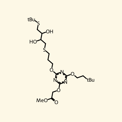 COC(=O)COc1nc(OCCCSCC(O)C(O)CSC(C)(C)C)nc(OCCC(C)(C)C)n1